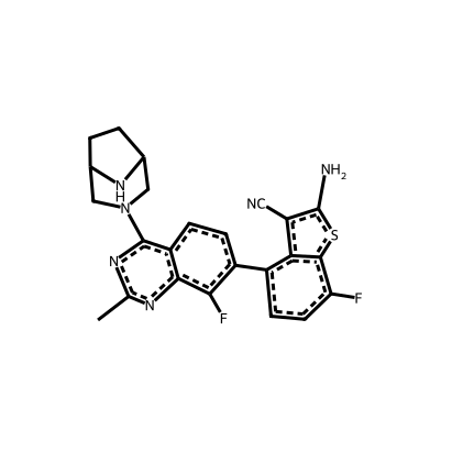 Cc1nc(N2CC3CCC(C2)N3)c2ccc(-c3ccc(F)c4sc(N)c(C#N)c34)c(F)c2n1